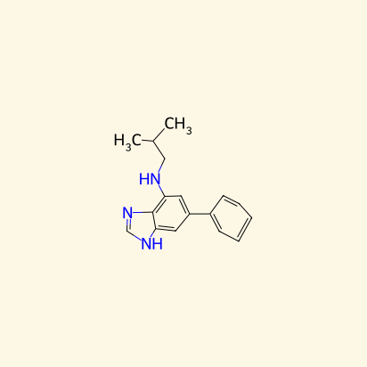 CC(C)CNc1cc(-c2ccccc2)cc2[nH]cnc12